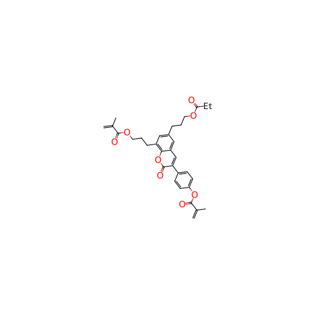 C=C(C)C(=O)OCCCc1cc(CCCOC(=O)CC)cc2cc(-c3ccc(OC(=O)C(=C)C)cc3)c(=O)oc12